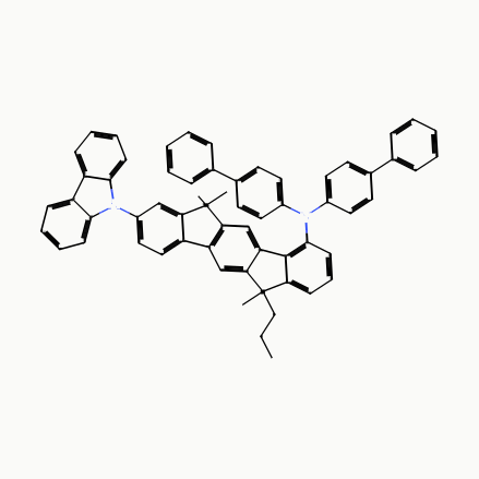 CCCC1(C)c2cc3c(cc2-c2c(N(c4ccc(-c5ccccc5)cc4)c4ccc(-c5ccccc5)cc4)cccc21)C(C)(C)c1cc(-n2c4ccccc4c4ccccc42)ccc1-3